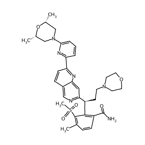 Cc1ccc(C(N)=O)c([C@H](CCN2CCOCC2)c2cc3nc(-c4cccc(N5C[C@@H](C)O[C@@H](C)C5)n4)ccc3cn2)c1S(C)(=O)=O